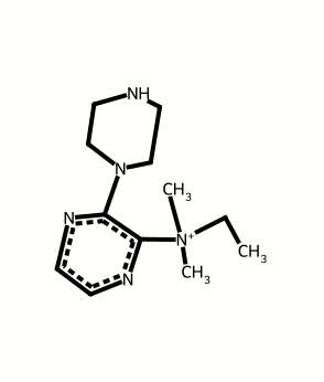 CC[N+](C)(C)c1nccnc1N1CCNCC1